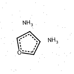 N.N.c1ccoc1